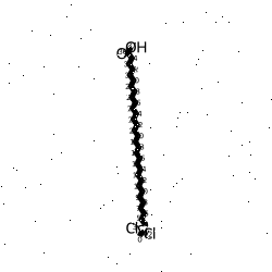 C[Si](Cl)(Cl)CCCCCCCCCCCCCCCCCCCCCCCCCCCCCCCC(=O)O